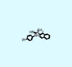 CC(C)c1ccc(NC(=N)N(C)c2ccc3ccccc3c2)cc1